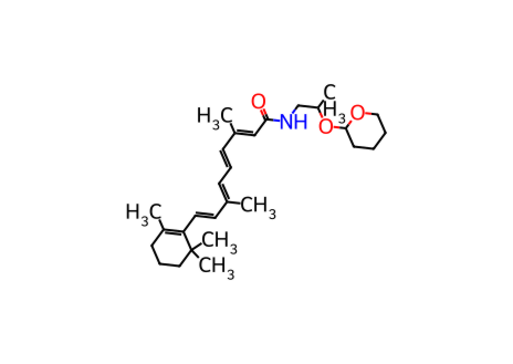 CC(C=CC1=C(C)CCCC1(C)C)=CC=CC(C)=CC(=O)NCC(C)OC1CCCCO1